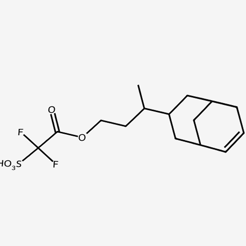 CC(CCOC(=O)C(F)(F)S(=O)(=O)O)C1CC2C=CCC(C2)C1